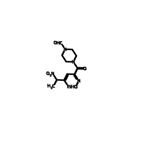 CC/C(=C\C(=N/O)C(=O)N1CCN(C=O)CC1)C(C)[N+](=O)[O-]